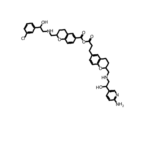 Nc1ccc(C(O)CNCC2CCc3cc(CCC(=O)OC(=O)c4ccc5c(c4)CCC(CNCC(O)c4cccc(Cl)c4)O5)ccc3O2)cn1